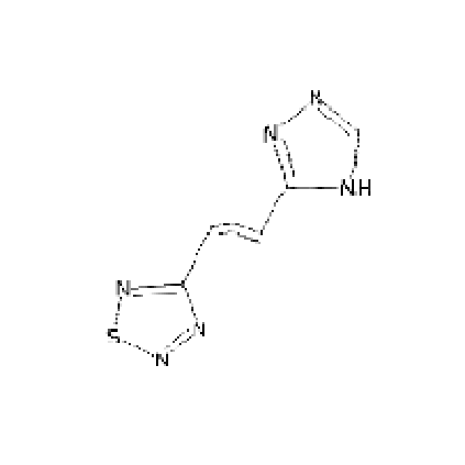 C(=Cc1nnc[nH]1)c1nnsn1